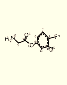 NCC(=O)Oc1ccc(F)c(F)c1